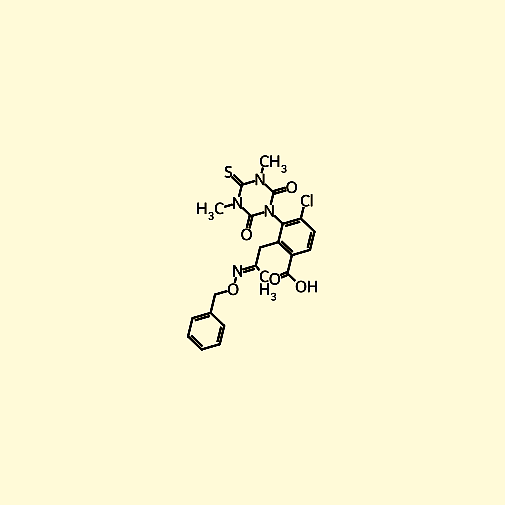 CC(Cc1c(C(=O)O)ccc(Cl)c1-n1c(=O)n(C)c(=S)n(C)c1=O)=NOCc1ccccc1